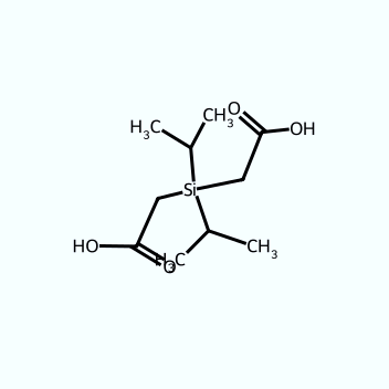 CC(C)[Si](CC(=O)O)(CC(=O)O)C(C)C